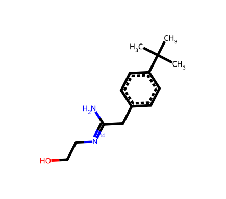 CC(C)(C)c1ccc(C/C(N)=N/CCO)cc1